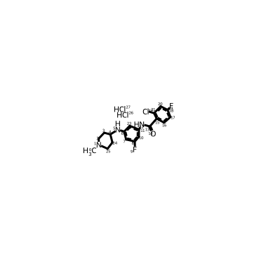 CN1CCC(Nc2cc(F)cc(NC(=O)c3ccc(F)cc3Cl)c2)CC1.Cl.Cl